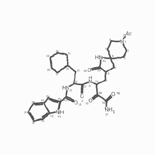 CC(=O)N1CCC2(CC1)CC(CC(NC(=O)C(CC1CCCCC1)NC(=O)c1cc3ccccc3[nH]1)C(=O)C(N)=O)C(=O)N2